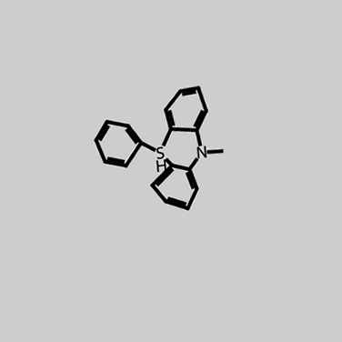 CN1c2ccccc2[SH](c2ccccc2)c2ccccc21